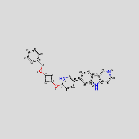 C1=CC(OC2CC(OCc3ccccc3)C2)NC=C1c1ccc2c(c1)[nH]c1ccncc12